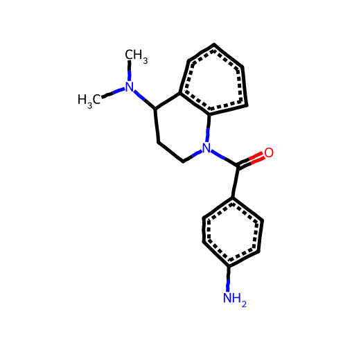 CN(C)C1CCN(C(=O)c2ccc(N)cc2)c2ccccc21